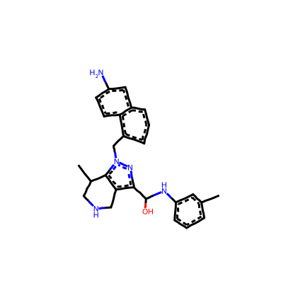 Cc1cccc(NC(O)c2nn(Cc3cccc4cc(N)ccc34)c3c2CNCC3C)c1